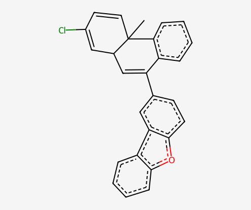 CC12C=CC(Cl)=CC1C=C(c1ccc3oc4ccccc4c3c1)c1ccccc12